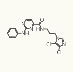 O=C(NCCCn1cnc(Cl)c1Cl)c1ccnc(Nc2ccccc2)n1